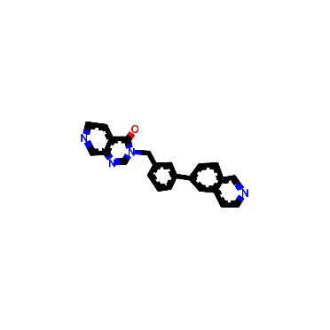 O=c1c2ccncc2ncn1Cc1cccc(-c2ccc3cnccc3c2)c1